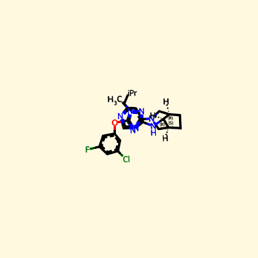 Cc1cc(N2C[C@H]3CC[C@@H](C2)[C@H]3Nc2nc(Oc3cc(F)cc(Cl)c3)n(CC(C)C)n2)ncn1